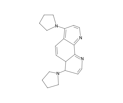 C1=CC(N2CCCC2)C2C=Cc3c(N4CCCC4)ccnc3C2=N1